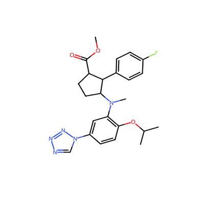 COC(=O)C1CCC(N(C)c2cc(-n3cnnn3)ccc2OC(C)C)C1c1ccc(F)cc1